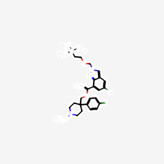 C=C(OCC1(c2ccc(F)cc2)CCN(C(=O)O)CC1)c1cc(Cl)cc2cn(COCC[Si](C)(C)C)nc12